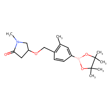 Cc1cc(B2OC(C)(C)C(C)(C)O2)ccc1COC1CC(=O)N(C)C1